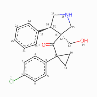 O=C(C1(c2ccc(Cl)cc2)CC1)[C@]1(CO)CNC[C@@H]1c1ccccc1